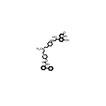 CN(CCC1CCC(NC[C@H](O)c2ccc(O)c3[nH]c(=O)ccc23)CC1)CCN1CCC(OC(=O)Nc2ccccc2-c2ccccc2)CC1